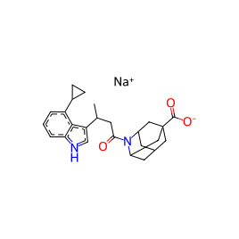 CC(CC(=O)N1C2CC3CC1CC(C(=O)[O-])(C3)C2)c1c[nH]c2cccc(C3CC3)c12.[Na+]